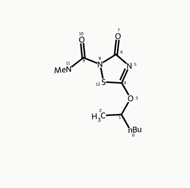 CCCCC(C)Oc1nc(=O)n(C(=O)NC)s1